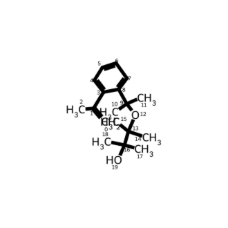 C=C(C)c1ccccc1C(C)(C)OC(C)(C)C(C)(C)O